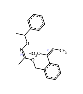 C/C(=N/OC(C)c1ccccc1)OCc1ccccc1/C(=C\C(F)(F)F)C(=O)O